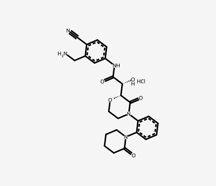 Cl.N#Cc1ccc(NC(=O)[C@H](O)[C@H]2OCCN(c3ccccc3N3CCCCC3=O)C2=O)cc1CN